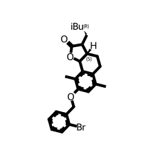 CC[C@@H](C)CC1C(=O)OC2c3c(C)c(OCc4ccccc4Br)cc(C)c3CC[C@@H]12